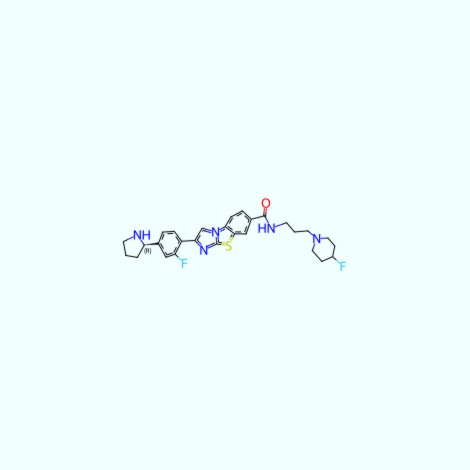 O=C(NCCCN1CCC(F)CC1)c1ccc2c(c1)sc1nc(-c3ccc([C@H]4CCCN4)cc3F)cn12